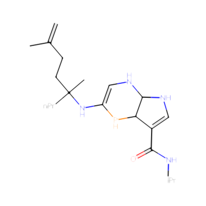 C=C(C)CCC(C)(CCC)NC1=CNC2NC=C(C(=O)NC(C)C)C2P1